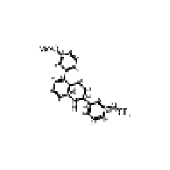 COc1cccc(-c2cccc3c2CCC(c2cccc(OC(F)(F)F)c2)N3)c1